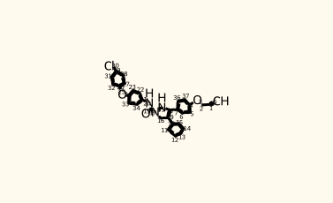 C#CCOc1ccc(C2=C(c3ccccc3)CN(C(=O)Nc3ccc(Oc4ccc(Cl)cc4)cc3)N2)cc1